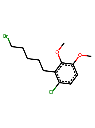 COc1ccc(Cl)c(CCCCCBr)c1OC